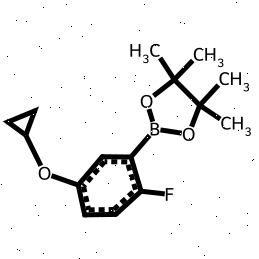 CC1(C)OB(c2cc(OC3CC3)ccc2F)OC1(C)C